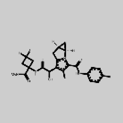 CNC(=O)C1(NC(=O)C(O)c2c(C)c(C(=O)Nc3ccc(F)cc3)n3c2C[C@H]2C[C@H]23)CC(F)(F)C1